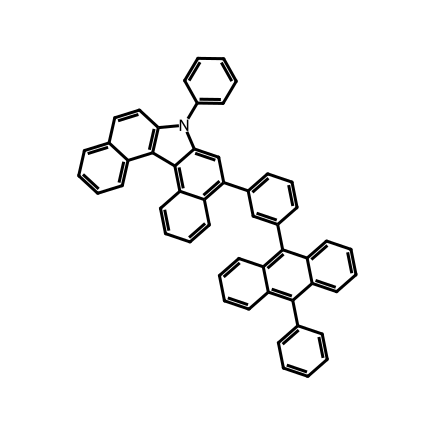 c1ccc(-c2c3ccccc3c(-c3cccc(-c4cc5c(c6ccccc46)c4c6ccccc6ccc4n5-c4ccccc4)c3)c3ccccc23)cc1